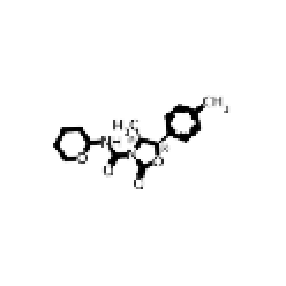 Cc1ccc([C@H]2OC(=O)N(C(=O)NC3CCCCO3)[C@@H]2C)cc1